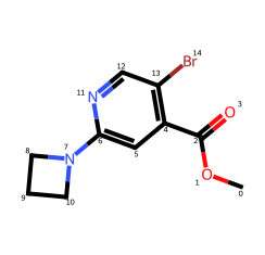 COC(=O)c1cc(N2CCC2)ncc1Br